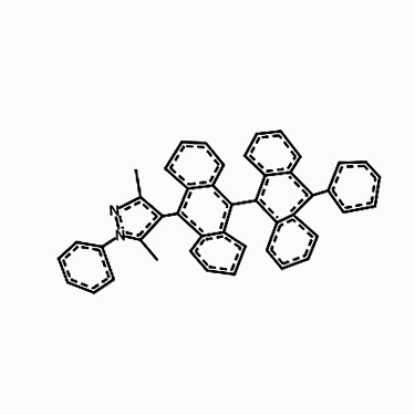 Cc1nn(-c2ccccc2)c(C)c1-c1c2ccccc2c(-c2c3ccccc3c(-c3ccccc3)c3ccccc23)c2ccccc12